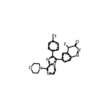 CCc1ccc(-c2nc3c(N4CCOCC4)nccn3c2-c2ccc3c(c2)C(F)C(=O)N=N3)cc1